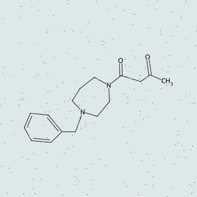 CC(=O)CC(=O)N1CCCN(Cc2ccccc2)CC1